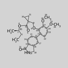 CC[C@@H](C)OC(=O)C1(COc2c(-c3ccc4c(c3)CNC4=O)ccc(OC)c2OC)CC1